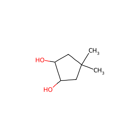 CC1(C)CC(O)C(O)C1